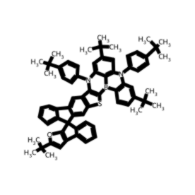 CC(C)(C)c1ccc(N2c3cc(C(C)(C)C)ccc3B3c4sc5cc6c(cc5c4N(c4ccc(C(C)(C)C)cc4)c4cc(C(C)(C)C)cc2c43)-c2ccccc2C62c3ccccc3-c3cc(C(C)(C)C)oc32)cc1